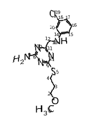 COCCCSc1nc(N)nc(CNc2cccc(Cl)c2)n1